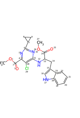 COC(=O)c1nc(C2CC2)nc(NC(Cc2c[nH]c3ccccc23)C(=O)OC)c1Cl